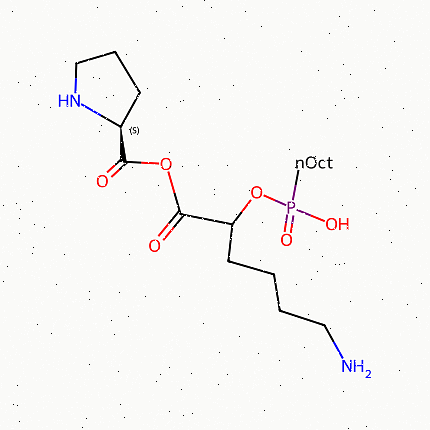 CCCCCCCCP(=O)(O)OC(CCCCN)C(=O)OC(=O)[C@@H]1CCCN1